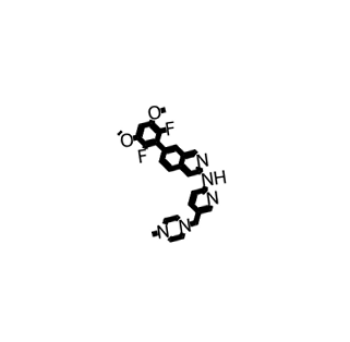 COc1cc(OC)c(F)c(-c2ccc3cc(Nc4ccc(CN5CCN(C)CC5)cn4)ncc3c2)c1F